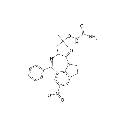 CC(C)(CC1N=C(c2ccccc2)c2cc([N+](=O)[O-])cc3c2N(CC3)C1=O)ONC(N)=O